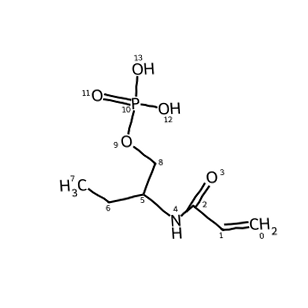 C=CC(=O)NC(CC)COP(=O)(O)O